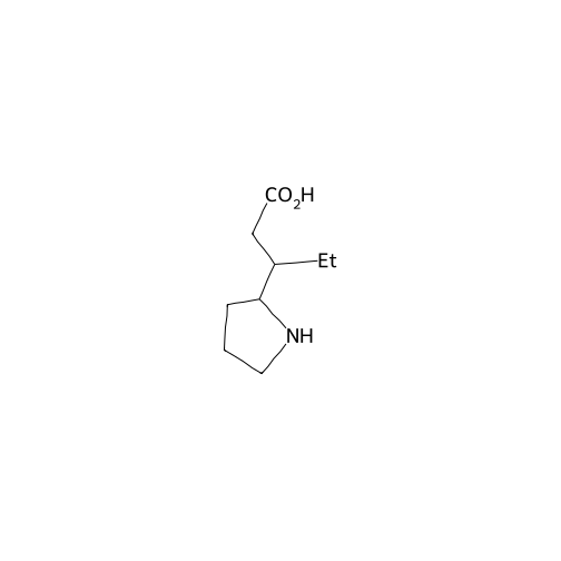 CCC(CC(=O)O)C1CCCN1